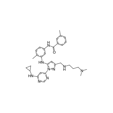 Cc1cccc(C(=O)Nc2ccc(C)c(Nc3cc(CNCCCN(C)C)nn3-c3cc(NC4CC4)ncn3)c2)c1